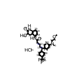 COCCN(C)c1ccc(/C(=C\C=C\C(=O)Nc2cccc3c2CC(O)C(=O)N3)c2ccc(C(F)(F)F)cc2)cn1.Cl